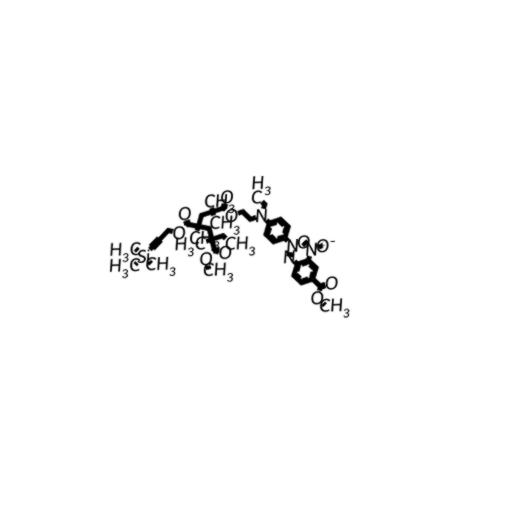 CCN(CCOC(=O)C(C)(C)CC(C)(CC(C)(CC)C(=O)OC)C(=O)OCC#C[Si](C)(C)C)c1ccc(/N=N/c2ccc(C(=O)OC)cc2[N+](=O)[O-])cc1